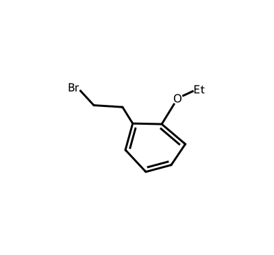 CCOc1ccccc1CCBr